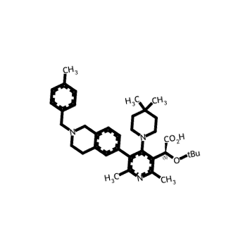 Cc1ccc(CN2CCc3cc(-c4c(C)nc(C)c([C@H](OC(C)(C)C)C(=O)O)c4N4CCC(C)(C)CC4)ccc3C2)cc1